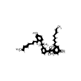 CCCCCCCCc1cc(O)ccc1C(C)(C)c1cccc(C(C)(C)c2ccc(O)cc2CCCCCCCC)c1